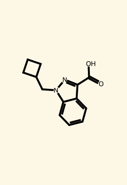 O=C(O)c1nn(CC2CCC2)c2ccccc12